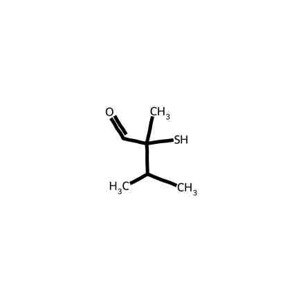 CC(C)C(C)(S)C=O